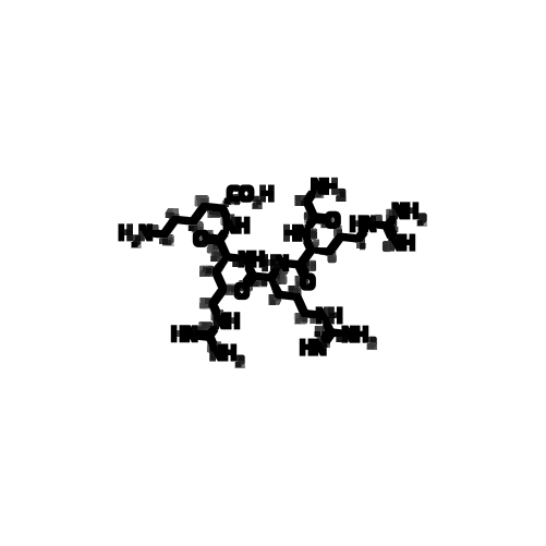 N=C(N)NCCC[C@H](NC(=O)CN)C(=O)N[C@@H](CCCNC(=N)N)C(=O)N[C@@H](CCCNC(=N)N)C(=O)N[C@H](CCCCN)C(=O)O